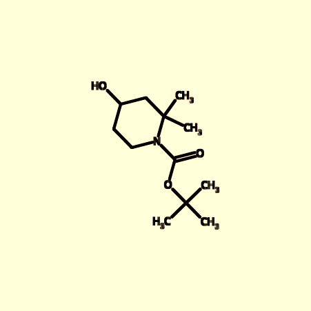 CC(C)(C)OC(=O)N1CCC(O)CC1(C)C